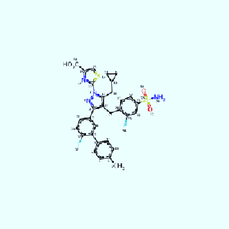 Cc1ccc(-c2cc(-c3nn(-c4nc(C(=O)O)cs4)c(CC4CC4)c3Cc3ccc(S(N)(=O)=O)cc3F)ccc2F)cc1